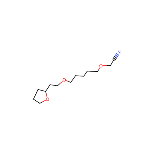 N#CCOCCCCCOCCC1CCCO1